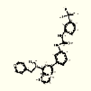 CN(Cc1ccncc1)c1nc(-c2cccc(NC(=O)Nc3cccc(C(F)(F)F)c3)c2)cn2ccnc12